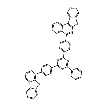 c1ccc(-c2nc(-c3ccc(-c4nc5sc6ccccc6c5c5ccccc45)cc3)nc(-c3ccc(-c4cccc5c4oc4ccccc45)cc3)n2)cc1